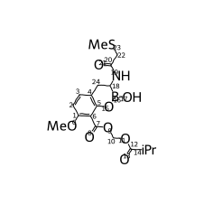 COc1ccc2c(c1C(=O)OCOC(=O)C(C)C)OB(O)C(NC(=O)CSC)C2